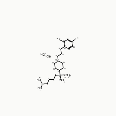 Cl.Cl.NC(CCCCB(O)O)(C(=O)O)C1CCN(CCCc2ccc(F)cc2F)CC1